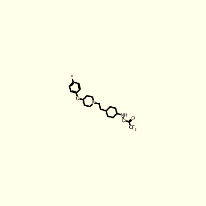 O=C(ONC1CCC(CCN2CCC(Oc3ccc(F)cc3)CC2)CC1)C(F)(F)F